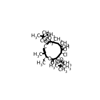 CC[C@H]1OC(=O)[C@H](C)[C@@H](O[Si](C)(C)C(C)(C)C)[C@@H](Cl)C(=O)[C@](C)(O)C[C@@H](C)[C@H](O[Si](C)(C)C(C)(C)C)C=C=C=C1C